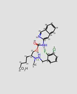 CC(=O)N(NCc1cccc(Cl)c1F)[C@@H](CCCC(=O)O)COC(=O)Nc1cc2ccccc2cn1